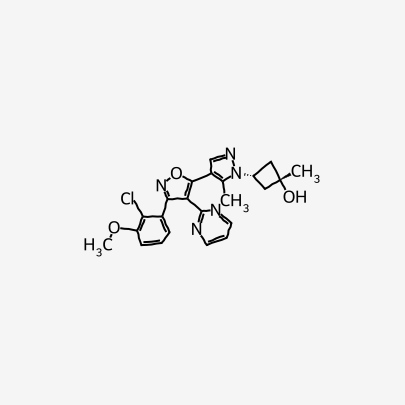 COc1cccc(-c2noc(-c3cnn([C@H]4C[C@@](C)(O)C4)c3C)c2-c2ncccn2)c1Cl